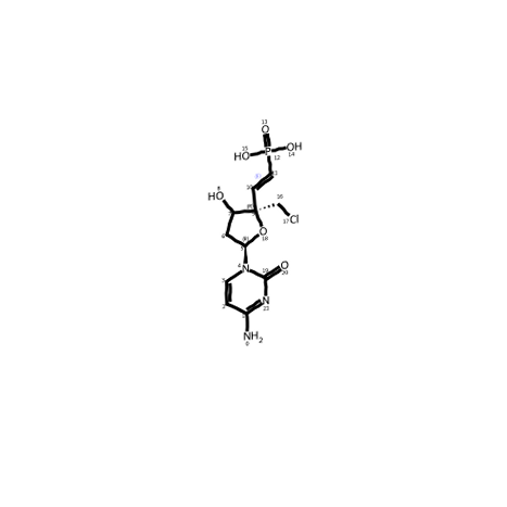 Nc1ccn([C@H]2CC(O)[C@](/C=C/P(=O)(O)O)(CCl)O2)c(=O)n1